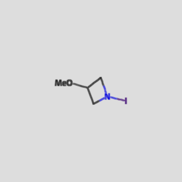 COC1CN(I)C1